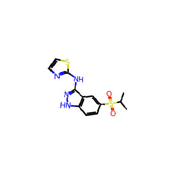 CC(C)S(=O)(=O)c1ccc2[nH]nc(Nc3nccs3)c2c1